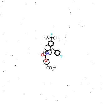 CC(F)(c1ccc2c(c1)CC[C@H]1N(C(=O)C34CCC(C(=O)O)(CC3)CO4)CC[C@@]21Cc1ccc(F)cc1)C(F)(F)F